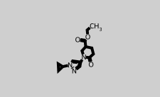 CCOC(=O)C1CCC(=O)N(c2cnn(C3CC3)c2)C1